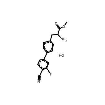 COC(=O)C(N)Cc1ccc(-c2ccc(C#N)c(F)c2)cc1.Cl